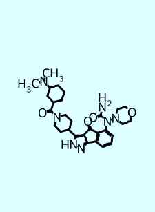 CN(C)C1CCCC(C(=O)N2CCC(c3[nH]nc4c3C(=O)c3c-4cccc3N(C(N)=O)N3CCOCC3)CC2)C1